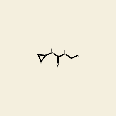 [CH2]CNC(=O)NC1CC1